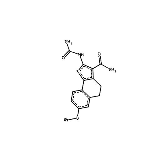 CC(C)Oc1ccc2c(c1)CCc1c-2sc(NC(N)=O)c1C(N)=O